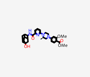 COC(=O)c1ccc(N2CCN(c3cccc(C(=O)NC4C5CC6CC4CC(O)(C6)C5)n3)[C@H](C)C2)cc1OC